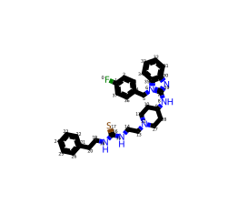 Fc1ccc(Cn2c(NC3CCN(CCNC(=S)NCCc4ccccc4)CC3)nc3ccccc32)cc1